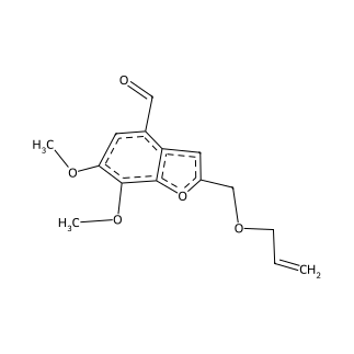 C=CCOCc1cc2c(C=O)cc(OC)c(OC)c2o1